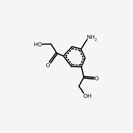 Nc1cc(C(=O)CO)cc(C(=O)CO)c1